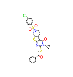 O=C(CSc1nc2sc3c(c2c(=O)n1C1CC1)CCN(S(=O)(=O)c1ccc(Cl)cc1)C3)c1ccccc1